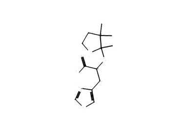 CC1(C)CCSC1(C)NC(Cc1c[nH]cn1)C(=O)O